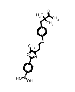 CC(=O)C(C)(C)Cc1ccc(OCCc2nc(-c3ccc(B(O)O)cc3)oc2C)cc1